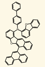 c1ccc(-c2ccc(N(c3cccc4c3oc3ccccc34)c3cccc4oc5c(-c6cc7ccccc7c7ccccc67)c6ccccc6cc5c34)cc2)cc1